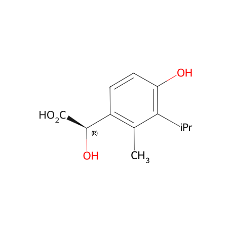 Cc1c([C@@H](O)C(=O)O)ccc(O)c1C(C)C